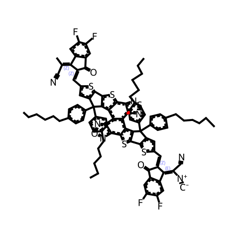 [C-]#[N+]/C(C#N)=C1/C(=C/c2cc3c(s2)-c2sc4c5nonc5c5c6c7c(sc6c6nsnc6c5c4c2C3(c2ccc(CCCCCC)cc2)c2ccc(CCCCCC)cc2)-c2sc(/C=C3\C(=O)c4cc(F)c(F)cc4\C3=C(/C)C#N)cc2C7(c2ccc(CCCCCC)cc2)c2ccc(CCCCCC)cc2)C(=O)c2cc(F)c(F)cc21